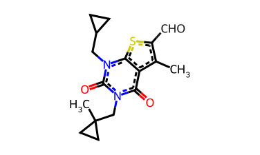 Cc1c(C=O)sc2c1c(=O)n(CC1(C)CC1)c(=O)n2CC1CC1